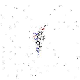 CCOC(=O)c1ccc2c(c1)NC(=O)/C2=C(\Nc1ccc(Cc2c[nH]cn2)cc1)c1ccccc1